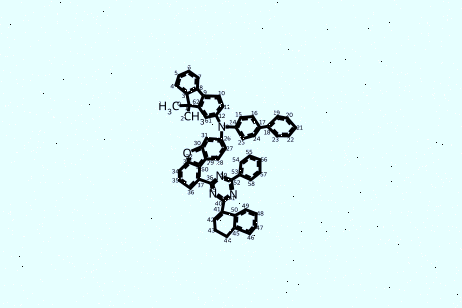 CC1(C)c2ccccc2-c2ccc(N(c3ccc(-c4ccccc4)cc3)c3ccc4c(c3)oc3cccc(-c5nc(C6=CCCc7ccccc76)nc(-c6ccccc6)n5)c34)cc21